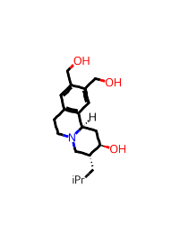 CC(C)C[C@@H]1CN2CCc3cc(CO)c(CO)cc3[C@H]2C[C@H]1O